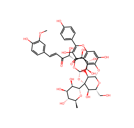 COc1cc(C=CC(=O)C(O)[C@H]2O[C@@H](O[C@@]3([C@@H]4O[C@@H](C)[C@H](O)[C@@H](O)[C@H]4O)[C@H](O)[C@@H](CO)O[C@@H](Oc4c(O)cc5oc(-c6ccc(O)cc6)c(O)c(=O)c5c4O)[C@@H]3O)[C@H](O)[C@@H](O)[C@@H]2O)ccc1O